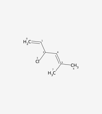 C=CC(Cl)C=C(C)C